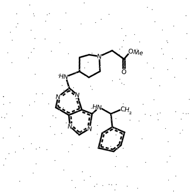 COC(=O)CN1CCC(Nc2ncc3ncnc(NC(C)c4ccccc4)c3n2)CC1